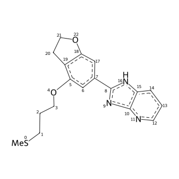 CSCCCOc1cc(-c2nc3ncccc3[nH]2)cc2c1CCO2